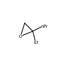 CCCC1(CC)CO1